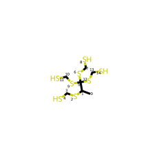 CC(SCS)C(SCS)(SCS)SCS